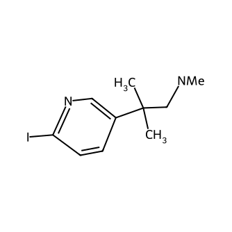 CNCC(C)(C)c1ccc(I)nc1